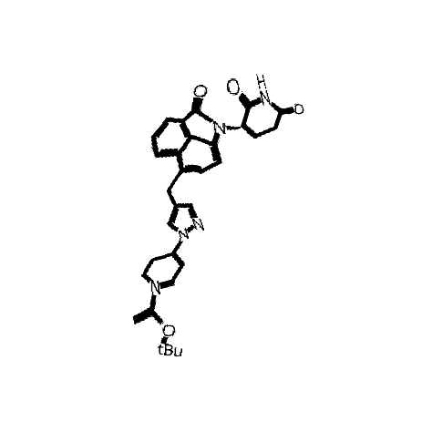 C=C(OC(C)(C)C)N1CCC(n2cc(Cc3ccc4c5c(cccc35)C(=O)N4[C@@H]3CCC(=O)NC3=O)cn2)CC1